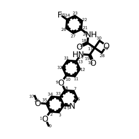 COc1cc2nccc(Oc3ccc(NC(=O)C4(C(=O)Nc5ccc(F)cc5)COC4)cc3)c2cc1OC